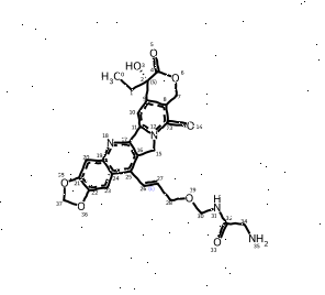 CC[C@@]1(O)C(=O)OCc2c1cc1n(c2=O)Cc2c-1nc1cc3c(cc1c2/C=C/COCNC(=O)CN)OCO3